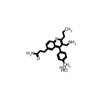 CCCc1nc2ccc(CCC(N)=O)cc2c(-c2ccc(C)cc2)c1CN.Cl.Cl